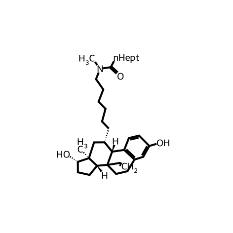 C=CC12CCc3cc(O)ccc3[C@H]1[C@@H](CCCCCCN(C)C(=O)CCCCCCC)C[C@]1(C)[C@@H](O)CC[C@@H]21